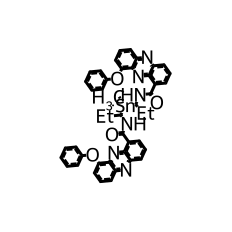 CC[CH](NC(=O)c1cccc2nc3cccc(Oc4ccccc4)c3nc12)[Sn]([CH3])[CH](CC)NC(=O)c1cccc2nc3cccc(Oc4ccccc4)c3nc12